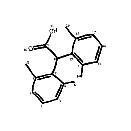 Cc1cccc(C)c1C(C(=O)O)c1c(C)cccc1C